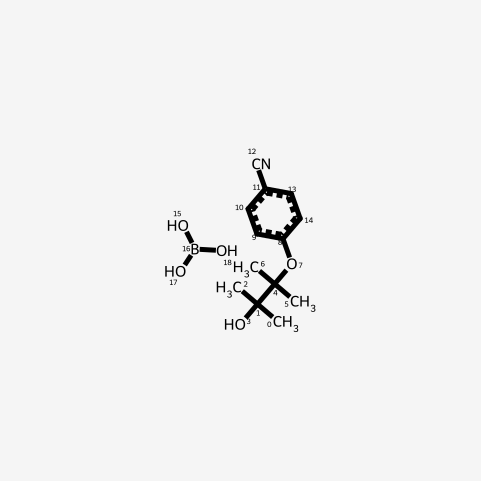 CC(C)(O)C(C)(C)Oc1ccc(C#N)cc1.OB(O)O